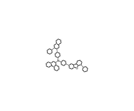 c1ccc(-c2cc3ccccc3cc2-c2ccc(N(c3ccc(-c4ccc5oc6c(-c7ccccc7)cccc6c5c4)cc3)c3cc4ccccc4c4ccccc34)cc2)cc1